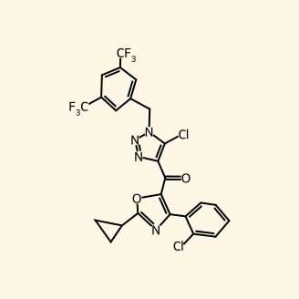 O=C(c1nnn(Cc2cc(C(F)(F)F)cc(C(F)(F)F)c2)c1Cl)c1oc(C2CC2)nc1-c1ccccc1Cl